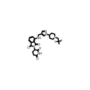 CC(F)(F)CN1CCC(n2cc(CNc3cccc4c3C(=O)N(C3CCC(=O)NC3=O)C4=O)cn2)CC1